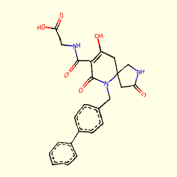 O=C(O)CNC(=O)C1=C(O)CC2(CNC(=O)C2)N(Cc2ccc(-c3ccccc3)cc2)C1=O